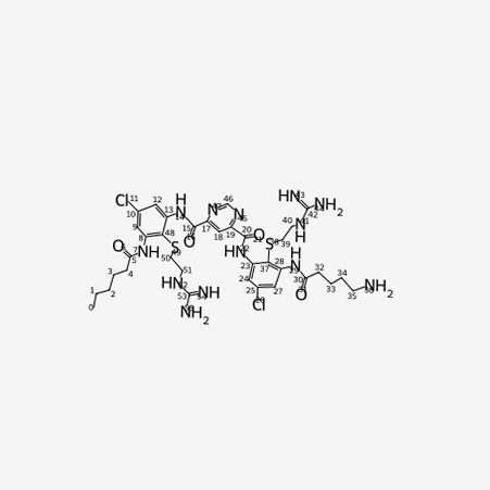 CCCCCC(=O)Nc1cc(Cl)cc(NC(=O)c2cc(C(=O)Nc3cc(Cl)cc(NC(=O)CCCCN)c3SCCNC(=N)N)ncn2)c1SCCNC(=N)N